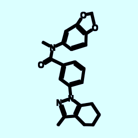 Cc1nn(-c2cccc(C(=O)N(C)c3ccc4c(c3)OCO4)c2)c2c1CCCC2